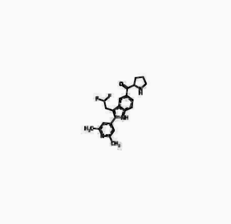 Cc1cc(-c2[nH]c3ccc(C(=O)C4CCCN4)cc3c2CC(F)F)cc(C)n1